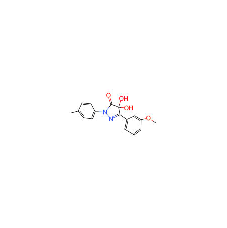 COc1cccc(C2=NN(c3ccc(C)cc3)C(=O)C2(O)O)c1